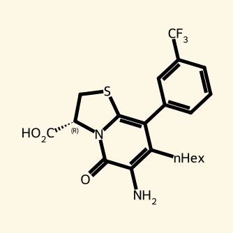 CCCCCCc1c(-c2cccc(C(F)(F)F)c2)c2n(c(=O)c1N)[C@H](C(=O)O)CS2